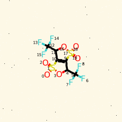 O=S1(=O)OC(C(F)(F)F)C2=C1C(C(F)(F)F)OS2(=O)=O